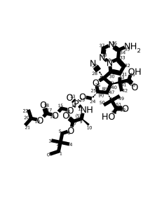 CCC(C)(C)COC(=O)[C@H](C)NP(=O)(OCOC(=O)OC(C)C)OC[C@@H]1O[C@@](C#N)(c2ccc3c(N)ncnn23)[C@@H](C(C)(C)C(=O)O)[C@@H]1C(C)(C)C(=O)O